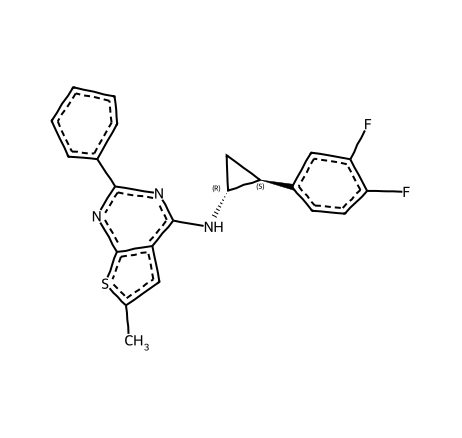 Cc1cc2c(N[C@@H]3C[C@H]3c3ccc(F)c(F)c3)nc(-c3ccccc3)nc2s1